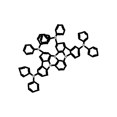 c1ccc(N(c2ccccc2)c2ccc3c(c2)c2cc(N(c4ccccc4)c4ccccc4)cc4c2n3-c2cccc3c2B4c2cc(N(c4ccccc4)c4ccccc4)cc4c5cc(N(c6ccccc6)c6ccccc6)ccc5n-3c24)cc1